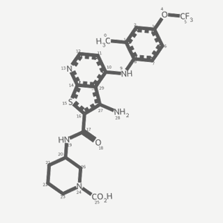 Cc1cc(OC(F)(F)F)ccc1Nc1ccnc2sc(C(=O)NC3CCCN(C(=O)O)C3)c(N)c12